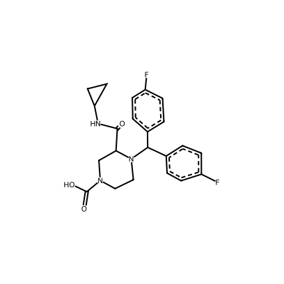 O=C(NC1CC1)C1CN(C(=O)O)CCN1C(c1ccc(F)cc1)c1ccc(F)cc1